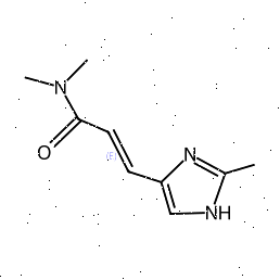 Cc1nc(/C=C/C(=O)N(C)C)c[nH]1